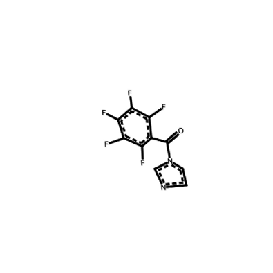 O=C(c1c(F)c(F)c(F)c(F)c1F)n1ccnc1